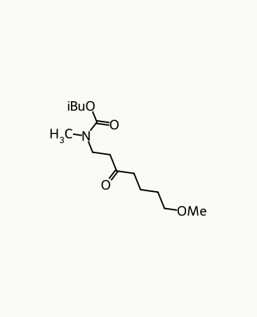 COCCCCC(=O)CCN(C)C(=O)OCC(C)C